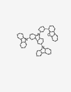 c1cc(-c2cccc3c2oc2ccccc23)cc(-n2c3ccc(-n4c5ccccc5c5ccccc54)cc3c3cc(-n4c5ccccc5c5ccccc54)ccc32)c1